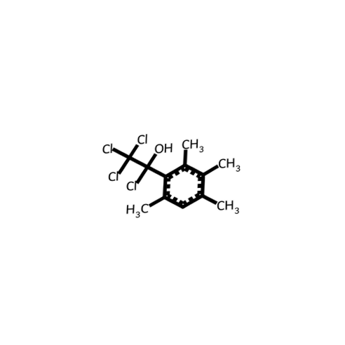 Cc1cc(C)c(C(O)(Cl)C(Cl)(Cl)Cl)c(C)c1C